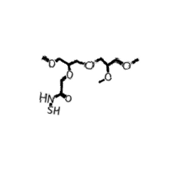 COCC(COCC(COC)OCC(=O)NS)OC